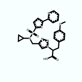 COc1ccc(CC(C(=O)O)n2cc(CN(C3CC3)S(=O)(=O)c3ccc(-c4ccccn4)s3)nn2)cc1